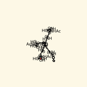 CC(=O)NC1C(OCCCCC(=O)NCCCCC(NC(=O)CCCCOC(OC(CO)[C@@H](C)O)[C@H](CO)NC(C)=O)C(=O)NC(CCCCNC(=O)CCCCOC2OC(CO)C(O)C(O)C2NC(C)=O)C(=O)NCCCCCC(=O)NCNCOC2CCC(C3CCCC3)CC2)OC(CO)C(O)C1O